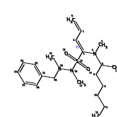 C=C/C=C(\N(C)C(C)CCCCC)S(=O)(=O)N(C)B(C)Cc1ccccc1